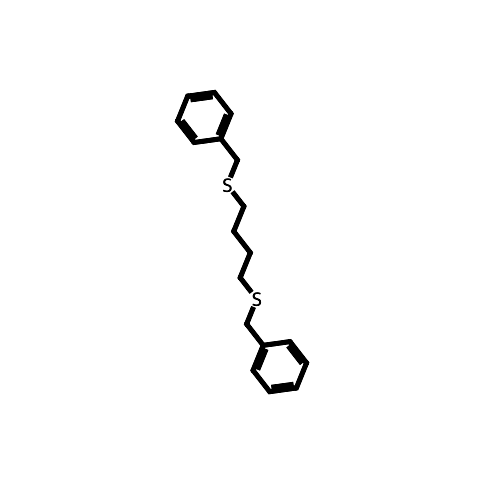 c1ccc(CSCCCCSCc2ccccc2)cc1